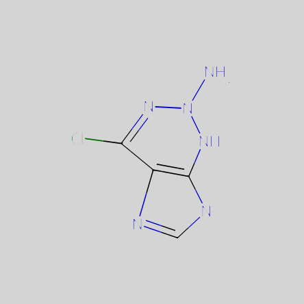 NN1N=C(Cl)C2=C([N]C=N2)N1